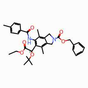 CCOC(=O)[C@@H](OC(C)(C)C)c1c(C)c2c(c(C)c1NC(=O)c1ccc(C)cc1)CN(C(=O)OCc1ccccc1)C2